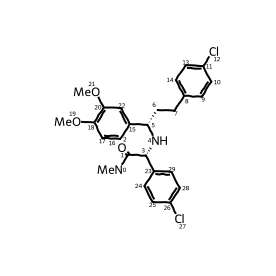 CNC(=O)[C@H](N[C@@H](CCc1ccc(Cl)cc1)c1ccc(OC)c(OC)c1)c1ccc(Cl)cc1